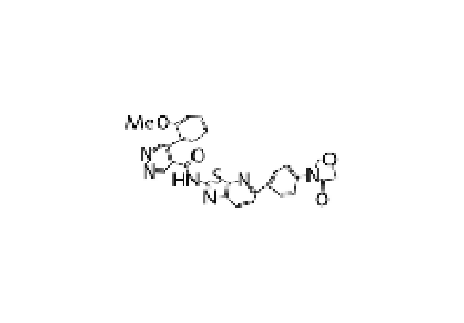 COc1ccccc1-c1cnncc1C(=O)Nc1nc2ccc(-c3ccc(N4COCC4=O)cc3)nc2s1